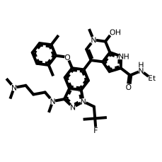 CCNC(=O)c1cc2c([nH]1)C(O)N(C)C=C2c1cc2c(cc1Oc1c(C)cccc1C)c(N(C)CCCN(C)C)nn2CC(C)(C)F